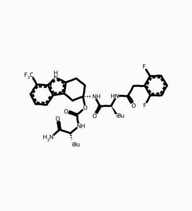 CCC(C)[C@H](NC(=O)Cc1c(F)cccc1F)C(=O)N[C@@]1(OC(=O)NC(C(N)=O)[C@@H](C)CC)CCc2[nH]c3c(C(F)(F)F)cccc3c2C1